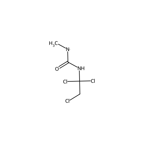 C[N]C(=O)NC(Cl)(Cl)CCl